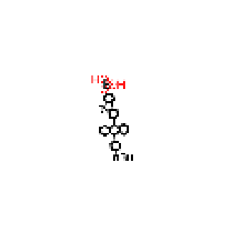 CCCCc1ccc(-c2c3ccccc3c(-c3ccc4c(c3)C(C)(C)c3cc(OB(O)O)ccc3-4)c3ccccc23)cc1